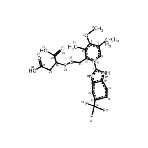 COc1c(C)c[n+](-c2nc3cc(C(F)(F)F)ccc3[nH]2)c(CSSC(CC(=O)O)C(=O)O)c1C.[Cl-]